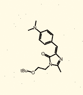 CC1=N/C(=C/c2ccc(N(C)C)cc2)C(=O)N1CCOC(C)(C)C